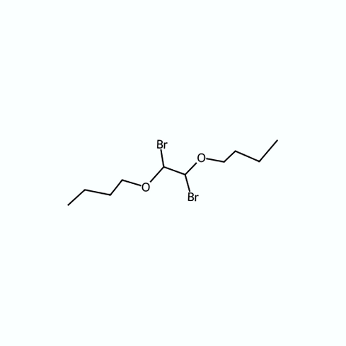 CCCCOC(Br)C(Br)OCCCC